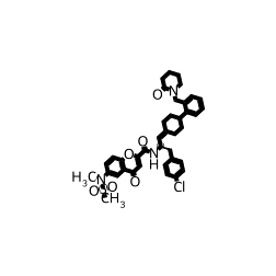 CN(c1ccc2oc(C(=O)N[C@@H](C=C3CCC(c4ccccc4CN4CCCCC4=O)CC3)Cc3ccc(Cl)cc3)cc(=O)c2c1)S(C)(=O)=O